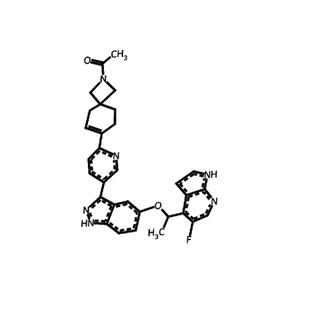 CC(=O)N1CC2(CC=C(c3ccc(-c4n[nH]c5ccc(OC(C)c6c(F)cnc7[nH]ccc67)cc45)cn3)CC2)C1